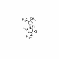 COC(=O)C(Cl)=C1Oc2cc(C)c(C)cc2N1C